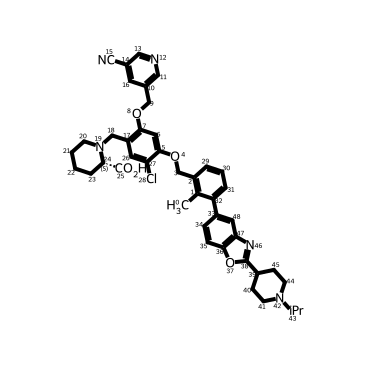 Cc1c(COc2cc(OCc3cncc(C#N)c3)c(CN3CCCC[C@H]3C(=O)O)cc2Cl)cccc1-c1ccc2oc(C3CCN(C(C)C)CC3)nc2c1